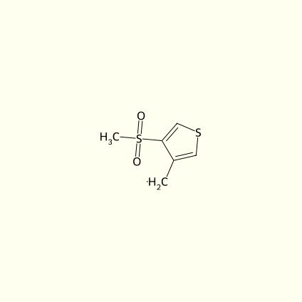 [CH2]c1cscc1S(C)(=O)=O